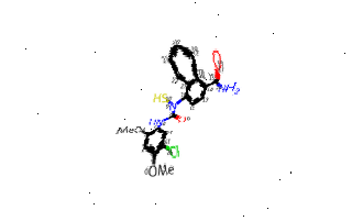 COc1cc(OC)c(NC(=O)N(S)c2ccc(C(N)=O)c3ccccc23)cc1Cl